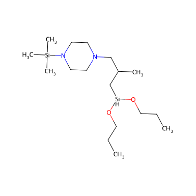 CCCO[SiH](CC(C)CN1CCN([Si](C)(C)C)CC1)OCCC